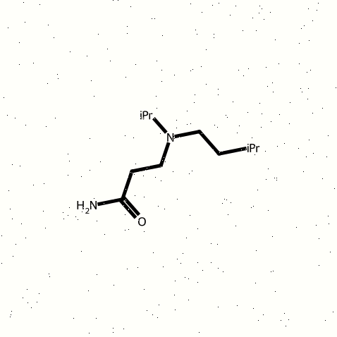 CC(C)CCN(CCC(N)=O)C(C)C